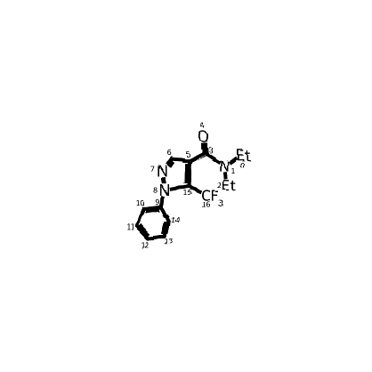 CCN(CC)C(=O)c1cnn(-c2ccccc2)c1C(F)(F)F